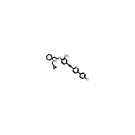 Cc1cc(C#Cc2ccc(-c3ccc(Cl)cc3)cn2)ccc1OCCC1(NCC2CC2)CCCCC1